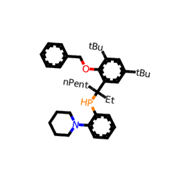 CCCCCC(CC)(Pc1ccccc1N1CCCCC1)c1cc(C(C)(C)C)cc(C(C)(C)C)c1OCc1ccccc1